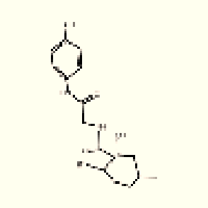 CC1CCC(C(C)C)[C@@](O)(C(=O)NCC(=O)Nc2ccc(O)cc2)C1